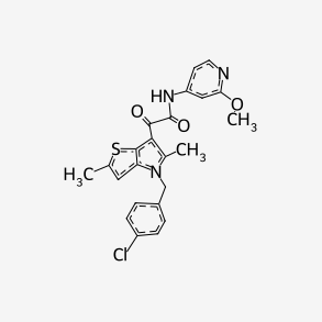 COc1cc(NC(=O)C(=O)c2c(C)n(Cc3ccc(Cl)cc3)c3cc(C)sc23)ccn1